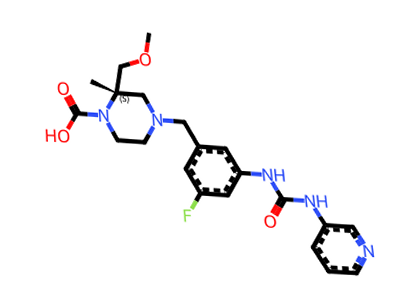 COC[C@]1(C)CN(Cc2cc(F)cc(NC(=O)Nc3cccnc3)c2)CCN1C(=O)O